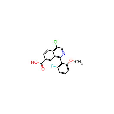 COc1cccc(F)c1-c1ncc(Cl)c2ccc(C(=O)O)cc12